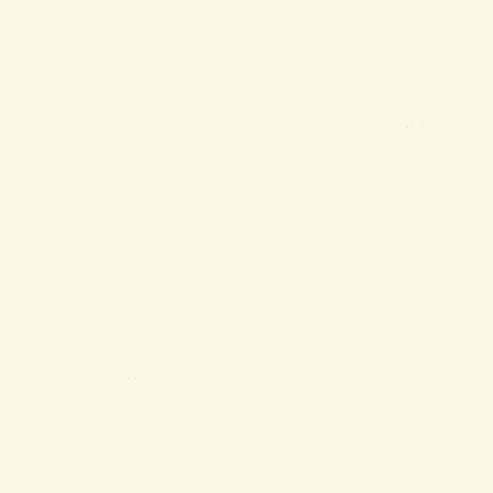 CCCCCCCOc1ccc(-c2ccc(OC(=O)c3ccc(CCCCCCC)c(Cl)c3)cc2)cc1